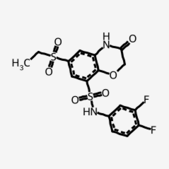 CCS(=O)(=O)c1cc2c(c(S(=O)(=O)Nc3ccc(F)c(F)c3)c1)OCC(=O)N2